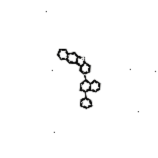 c1ccc(-c2ccc(-c3ccc4oc5cc6ccccc6cc5c4c3)c3ccccc23)cc1